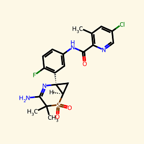 Cc1cc(Cl)cnc1C(=O)Nc1ccc(F)c([C@]23C[C@H]2S(=O)(=O)C(C)(C)C(N)=N3)c1